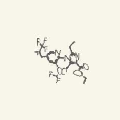 CCOC(=O)c1nc(CC)n(-c2ncc(C[C@@H](C)C(F)(F)F)cc2OC(F)F)c1Cl